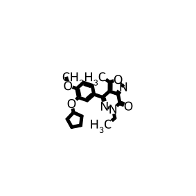 CCn1nc(-c2ccc(OC)c(OC3CCCC3)c2)c2c(C)onc2c1=O